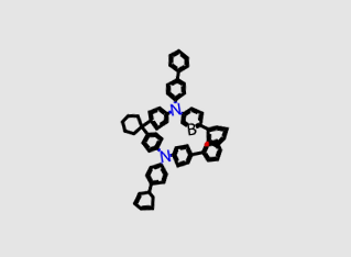 b1cc(N(c2ccc(-c3ccccc3)cc2)c2ccc(C3(c4ccc(N(c5ccc(-c6ccccc6)cc5)c5ccc(C6C=CC=CC6)cc5)cc4)CCCCC3)cc2)ccc1-c1ccccc1